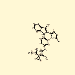 Cc1cnc(-c2c(Cl)c3ccccc3n2-c2ccc(CNC(=O)C3(C(N)=O)CC3)cc2)o1